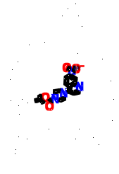 CC(C)(C)OC(=O)N1CCN(c2ccnc3cc([N+](=O)[O-])ccc23)CC1